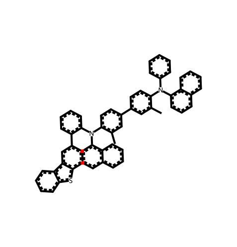 Cc1cc(-c2ccc(N(c3ccccc3-c3ccc4sc5ccccc5c4c3)c3cccc4ccccc34)c(C)c2)ccc1N(c1ccccc1)c1cccc2ccccc12